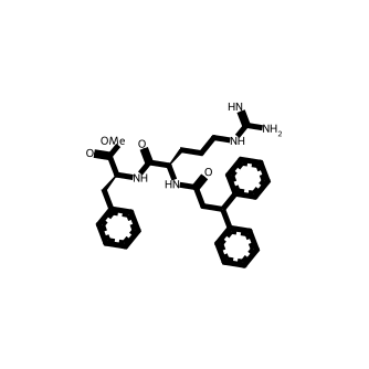 COC(=O)[C@H](Cc1ccccc1)NC(=O)[C@@H](CCCNC(=N)N)NC(=O)CC(c1ccccc1)c1ccccc1